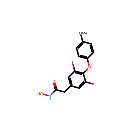 COc1ccc(Oc2c(I)cc(CC(=O)NO)cc2I)cc1